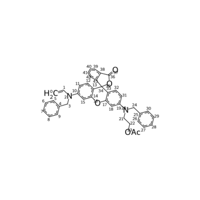 C=CN(Cc1ccccc1)c1ccc2c(c1)Oc1cc(N(CCOC(C)=O)Cc3ccccc3)ccc1C21OC(=O)c2ccccc21